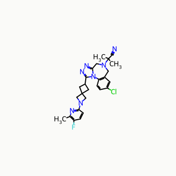 Cc1nc(N2CC3(CC(c4nnc5n4-c4ccc(Cl)cc4CN(C(C)(C)C#N)C5)C3)C2)ccc1F